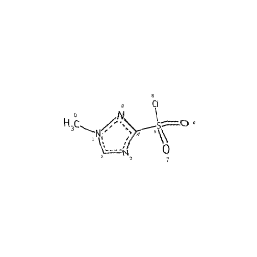 Cn1cnc(S(=O)(=O)Cl)n1